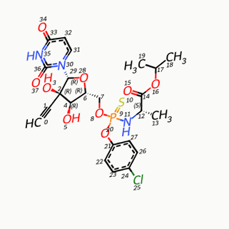 C#C[C@@]1(O)[C@H](O)[C@@H](COP(=S)(N[C@@H](C)C(=O)OC(C)C)Oc2ccc(Cl)cc2)O[C@H]1n1ccc(=O)[nH]c1=O